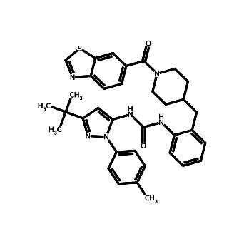 Cc1ccc(-n2nc(C(C)(C)C)cc2NC(=O)Nc2ccccc2CC2CCN(C(=O)c3ccc4ncsc4c3)CC2)cc1